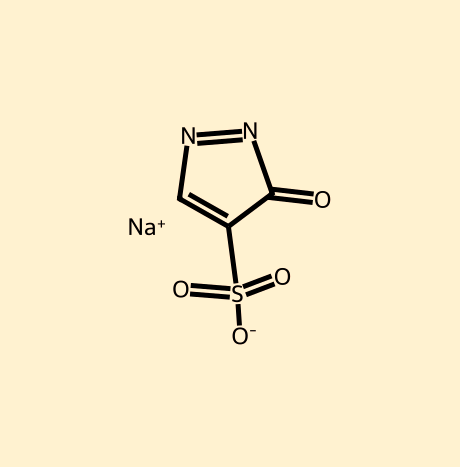 O=C1N=NC=C1S(=O)(=O)[O-].[Na+]